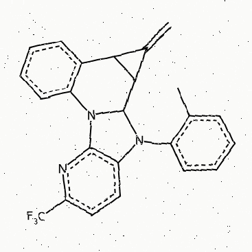 C=C1C2c3ccccc3N3c4nc(C(F)(F)F)ccc4N(c4ccccc4C)C3C12